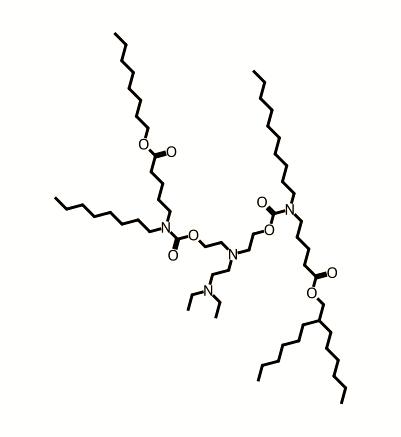 CCCCCCCCCCN(CCCCC(=O)OCC(CCCCCC)CCCCCC)C(=O)OCCN(CCOC(=O)N(CCCCCCCC)CCCCC(=O)OCCCCCCCC)CCN(CC)CC